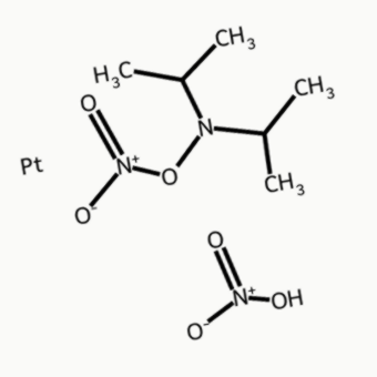 CC(C)N(O[N+](=O)[O-])C(C)C.O=[N+]([O-])O.[Pt]